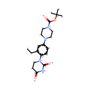 CCc1cc(N2CCN(C(=O)OC(C)(C)C)CC2)ccc1N1CCC(=O)NC1=O